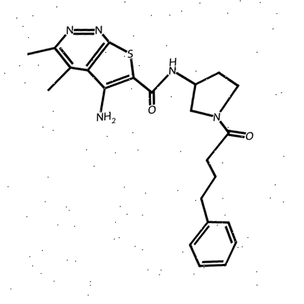 Cc1nnc2sc(C(=O)NC3CCN(C(=O)CCCc4ccccc4)C3)c(N)c2c1C